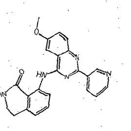 COc1ccc2nc(-c3cccnc3)nc(Nc3cccc4c3C(=O)NCC4)c2c1